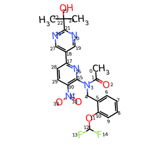 CC(=O)N(Cc1ccccc1OC(F)F)c1nc(-c2cnc(C(C)(C)O)nc2)ccc1[N+](=O)[O-]